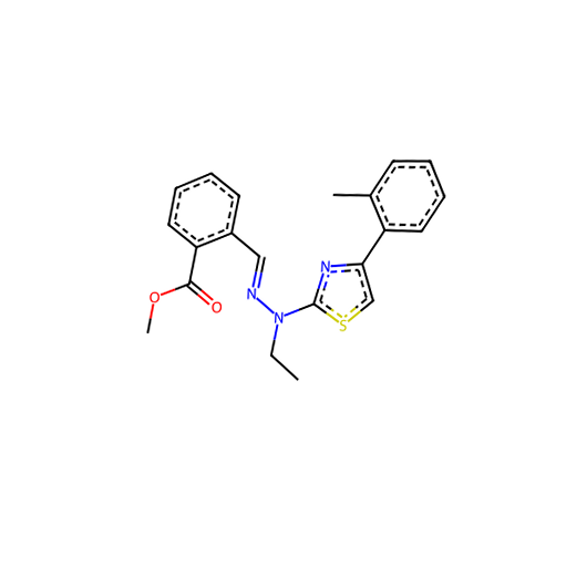 CCN(/N=C/c1ccccc1C(=O)OC)c1nc(-c2ccccc2C)cs1